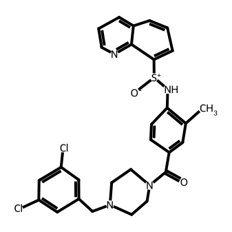 Cc1cc(C(=O)N2CCN(Cc3cc(Cl)cc(Cl)c3)CC2)ccc1N[S+]([O-])c1cccc2cccnc12